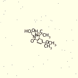 COC(C)c1ccc2c(=O)n(CC(=O)O)nc(C(C)C)c2c1